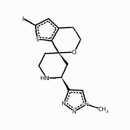 Cn1cc([C@@H]2C[C@]3(CCN2)OCCc2cc(I)sc23)nn1